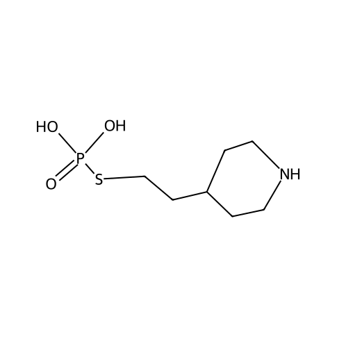 O=P(O)(O)SCCC1CCNCC1